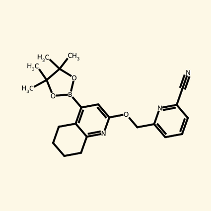 CC1(C)OB(c2cc(OCc3cccc(C#N)n3)nc3c2CCCC3)OC1(C)C